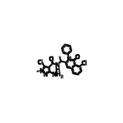 CC(NC(=O)c1c(N)nn(C)c1Cl)c1cc2cccc(Cl)c2c(=O)n1-c1ccccc1